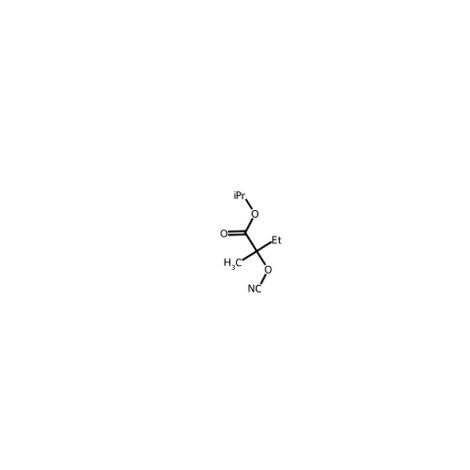 CCC(C)(OC#N)C(=O)OC(C)C